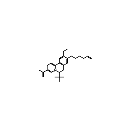 C=CCCCCc1cc2c(cc1CC)C1=CCC(C(=C)C)=CN1C(C(C)(C)C)C2